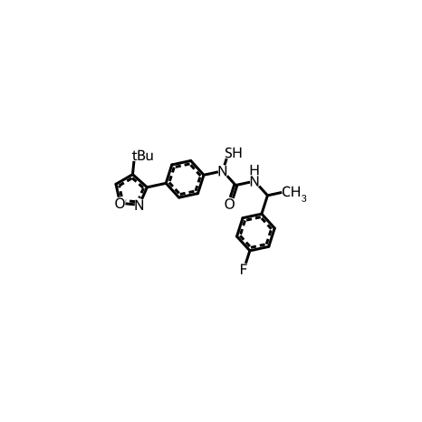 CC(NC(=O)N(S)c1ccc(-c2nocc2C(C)(C)C)cc1)c1ccc(F)cc1